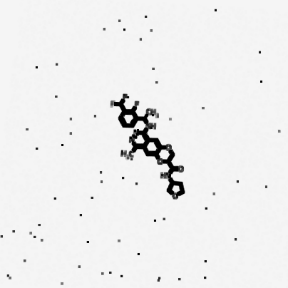 Cc1nnc(N[C@H](C)c2cccc(C(F)F)c2F)c2cc3c(cc12)OC(C(=O)NC1CCOC1)CO3